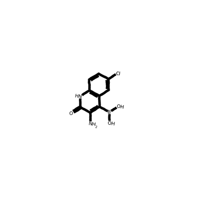 Nc1c(B(O)O)c2cc(Cl)ccc2[nH]c1=O